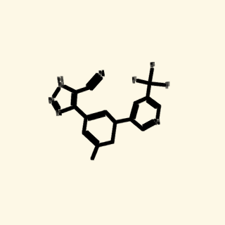 CC1=CC(c2nn[nH]c2C#N)=CC(c2cncc(C(F)(F)F)c2)C1